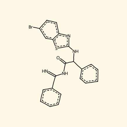 N=C(NC(=O)C(Nc1nc2ccc(Br)cc2s1)c1ccccc1)c1ccccc1